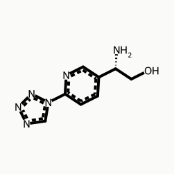 N[C@H](CO)c1ccc(-n2cnnn2)nc1